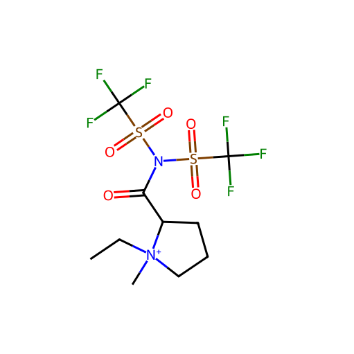 CC[N+]1(C)CCCC1C(=O)N(S(=O)(=O)C(F)(F)F)S(=O)(=O)C(F)(F)F